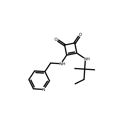 CCC(C)(C)Nc1c(NCc2cccnc2)c(=O)c1=O